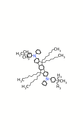 CCCCCCCCC1(CCCCCCCC)c2cc(N(c3ccccc3)c3ccc(C(C)(C)C)cc3)ccc2-c2cc3c(cc21)-c1ccc(N(c2ccccc2)c2ccc(C(C)(C)C)cc2)cc1C3(CCCCCCCC)CCCCCCCC